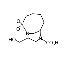 O=C(O)N1CC(CO)N2CC1CCCCS2(=O)=O